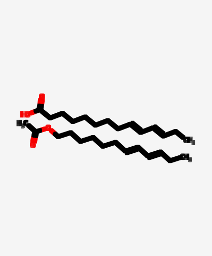 CC/C=C/C=C/CCCCCCCC(=O)O.CCC=CC=CCCCCCCOC(C)=O